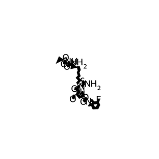 NC(=S)N[C@@H](CCCCC/C=C\[C@@H]1C[C@]1(N)C(=O)NS(=O)(=O)C1CC1)C(=O)N1C[C@H](OC(=O)N2Cc3cccc(F)c3C2)C[C@H]1C=O